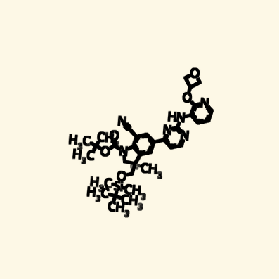 CC(C)(C)OC(=O)N1C[C@](C)(CO[Si](C)(C)C(C)(C)C)c2cc(-c3ccnc(Nc4cccnc4OC4COC4)n3)cc(C#N)c21